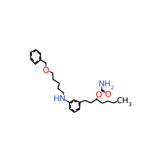 CCCCC(CCc1cccc(NCCCCCOCc2ccccc2)c1)OC(N)=O